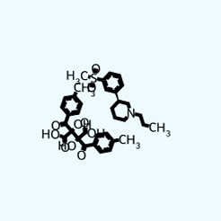 CCCN1CCC[C@@H](c2cccc(S(C)(=O)=O)c2)C1.Cc1ccc(C(=O)C(O)(C(=O)O)C(O)(C(=O)O)C(=O)c2ccc(C)cc2)cc1